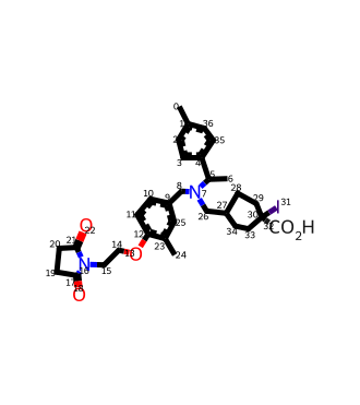 Cc1ccc(C(C)N(Cc2ccc(OCCN3C(=O)CCC3=O)c(C)c2)CC2CCC(I)(C(=O)O)CC2)cc1